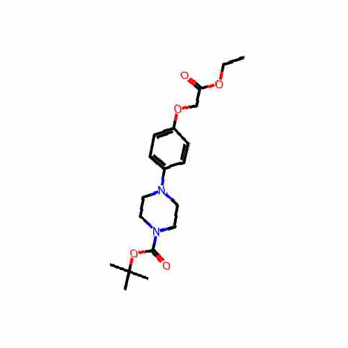 CCOC(=O)COc1ccc(N2CCN(C(=O)OC(C)(C)C)CC2)cc1